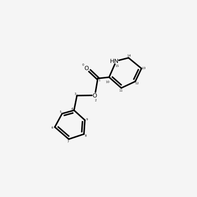 O=C(OCc1ccccc1)C1=CC=CCN1